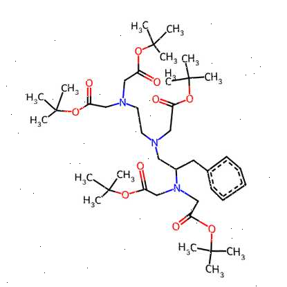 CC(C)(C)OC(=O)CN(CCN(CC(=O)OC(C)(C)C)CC(Cc1ccccc1)N(CC(=O)OC(C)(C)C)CC(=O)OC(C)(C)C)CC(=O)OC(C)(C)C